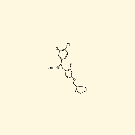 ON1[C@H](c2ccc(OCC3CCCO3)cc2F)[C@@H]1c1ccc(Cl)c(Cl)c1